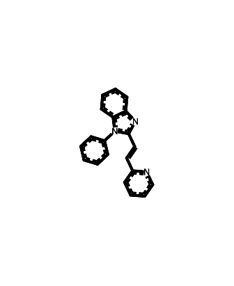 C(=Cc1nc2ccccc2n1-c1ccccc1)c1ccccn1